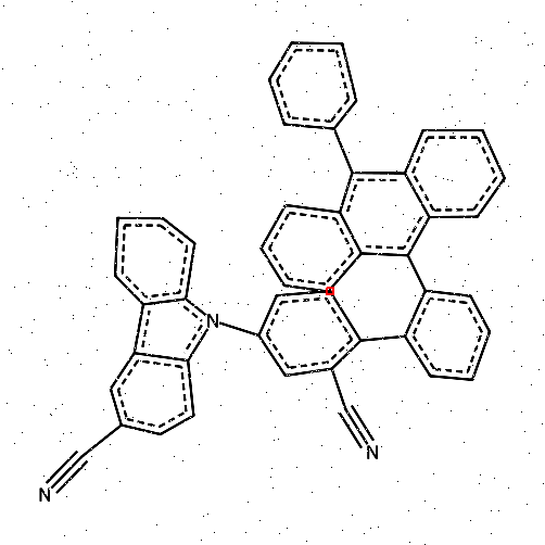 N#Cc1ccc2c(c1)c1ccccc1n2-c1ccc(-c2ccccc2-c2c3ccccc3c(-c3ccccc3)c3ccccc23)c(C#N)c1